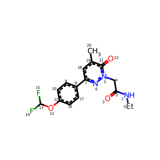 CCNC(=O)Cn1nc(-c2ccc(OC(F)F)cc2)cc(C)c1=O